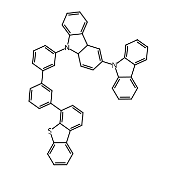 C1=CC2C(C=C1n1c3ccccc3c3ccccc31)c1ccccc1N2c1cccc(-c2cccc(-c3cccc4c3sc3ccccc34)c2)c1